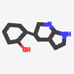 Oc1ccccc1-c1cnc2[nH]ccc2c1